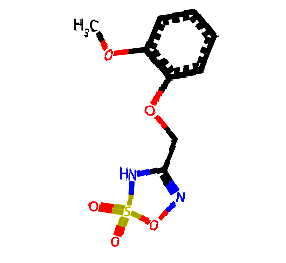 COc1cc[c]cc1OCC1=NOS(=O)(=O)N1